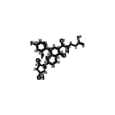 C=C(F)CCNC(=O)c1cn(-c2ncc(F)cc2F)c2nc(N3C[C@@H](O)CC3=O)ccc2c1=O